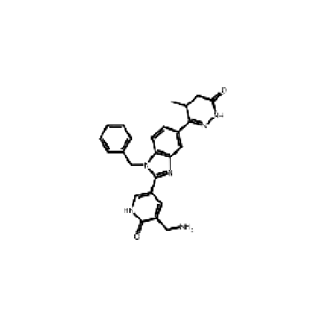 CC1CC(=O)NN=C1c1ccc2c(c1)nc(-c1c[nH]c(=O)c(CN)c1)n2Cc1ccccc1